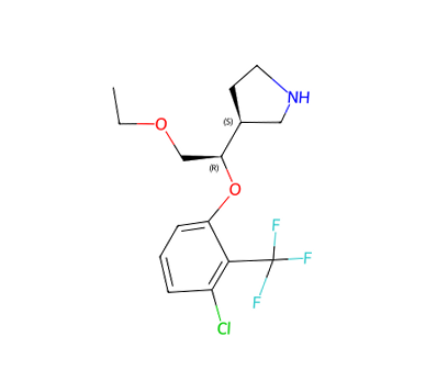 CCOC[C@H](Oc1cccc(Cl)c1C(F)(F)F)[C@H]1CCNC1